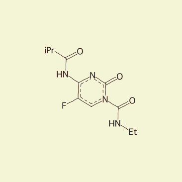 CCNC(=O)n1cc(F)c(NC(=O)C(C)C)nc1=O